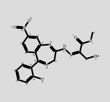 COC(=O)/C(CO)=N\NC1=Nc2cc([N+](=O)[O-])ccc2C(c2ccccc2Cl)=NC1